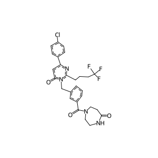 O=C1CCN(C(=O)c2cccc(Cn3c(CCCC(F)(F)F)nc(-c4ccc(Cl)cc4)cc3=O)c2)CCN1